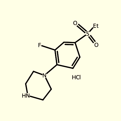 CCS(=O)(=O)c1ccc(N2CCNCC2)c(F)c1.Cl